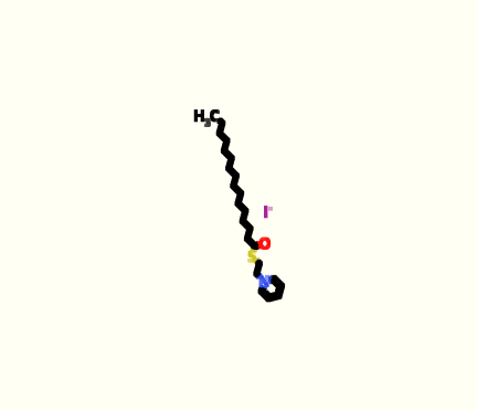 CCCCCCCCCCCCCCCC(=O)SCC[n+]1ccccc1.[I-]